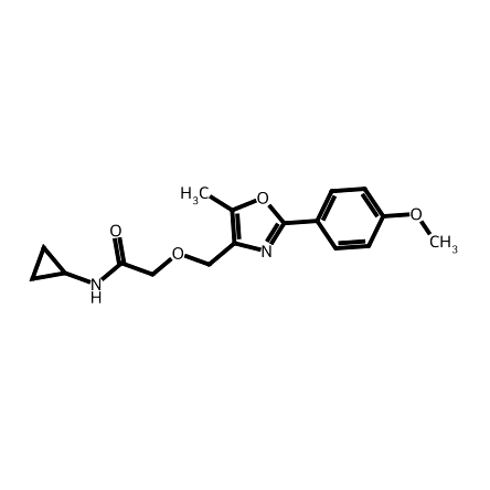 COc1ccc(-c2nc(COCC(=O)NC3CC3)c(C)o2)cc1